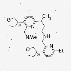 CCc1ccc([C@@H]2CCOC2)c(CNCCC(C)c2ccc([C@H]3CCOC3)c(CNC)n2)n1